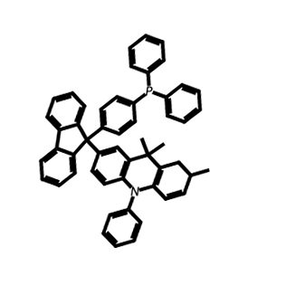 CC1C=CC2=C(C1)C(C)(C)c1cc(C3(c4ccc(P(c5ccccc5)c5ccccc5)cc4)c4ccccc4-c4ccccc43)ccc1N2c1ccccc1